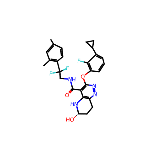 Cc1ccc(C(F)(F)CNC(=O)c2c(Oc3cccc(C4CC4)c3F)nnc3c2N[C@@H](O)CC3)c(C)c1